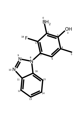 Bc1c(O)c(C)cc(-n2nnc3ccccc32)c1F